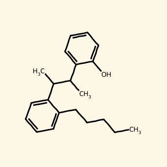 CCCCCc1ccccc1C(C)C(C)c1ccccc1O